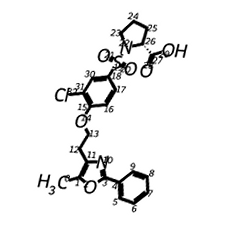 Cc1oc(-c2ccccc2)nc1CCOc1ccc(S(=O)(=O)N2CCC[C@@H]2C(=O)O)cc1Cl